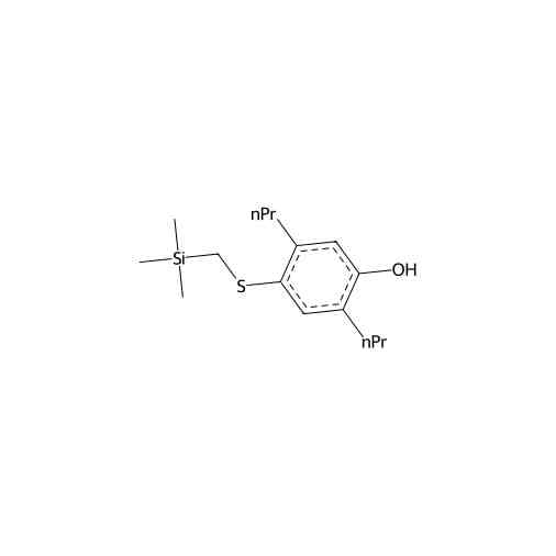 CCCc1cc(SC[Si](C)(C)C)c(CCC)cc1O